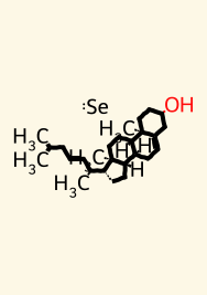 CC(C)CCC[C@@H](C)[C@H]1CC[C@H]2[C@@H]3CC=C4C[C@@H](O)CC[C@]4(C)[C@H]3CC[C@]12C.[Se]